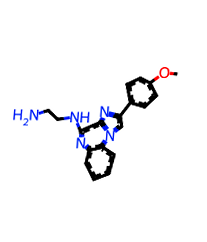 COc1ccc(-c2cn3c(n2)c(NCCN)nc2ccccc23)cc1